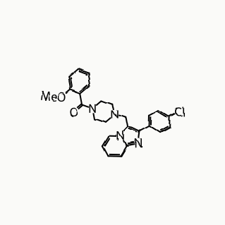 COc1ccccc1C(=O)N1CCN(Cc2c(-c3ccc(Cl)cc3)nc3ccccn23)CC1